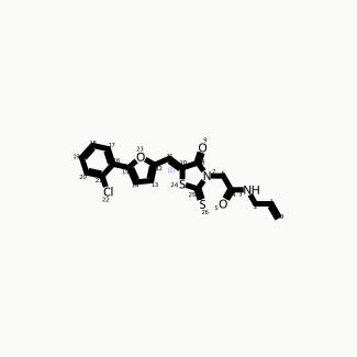 C=CCNC(=O)CN1C(=O)/C(=C/c2ccc(-c3ccccc3Cl)o2)SC1=S